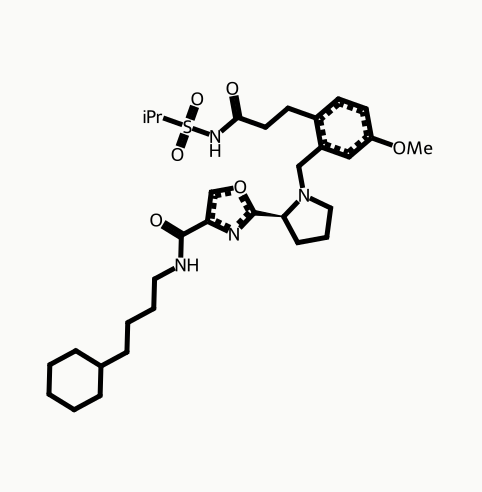 COc1ccc(CCC(=O)NS(=O)(=O)C(C)C)c(CN2CCC[C@H]2c2nc(C(=O)NCCCCC3CCCCC3)co2)c1